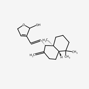 C=C1CC[C@H]2C(C)(C)CCC[C@]2(C)[C@H]1/C=C/C1=CCOC1O